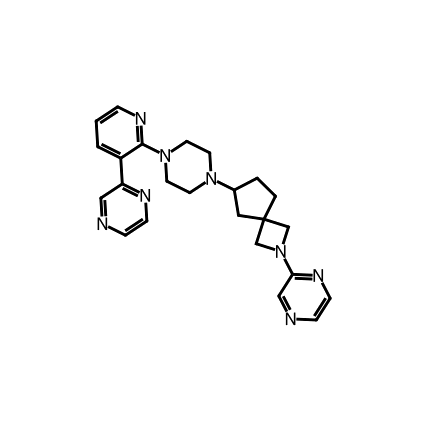 c1cnc(N2CCN(C3CCC4(C3)CN(c3cnccn3)C4)CC2)c(-c2cnccn2)c1